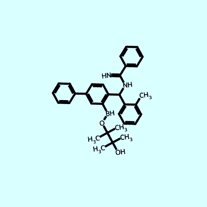 Cc1ccccc1C(NC(=N)c1ccccc1)c1ccc(-c2ccccc2)cc1BOC(C)(C)C(C)(C)O